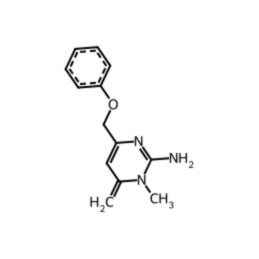 C=C1C=C(COc2ccccc2)N=C(N)N1C